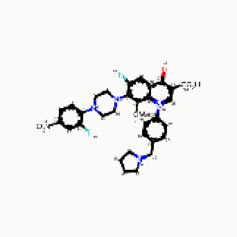 COc1c(N2CCN(c3ccc([N+](=O)[O-])cc3F)CC2)c(F)cc2c(=O)c(C(=O)O)cn(-c3ccc(CN4CCCC4)cc3)c12